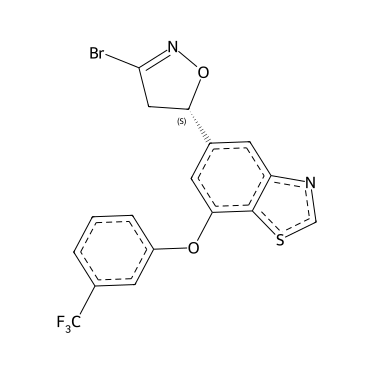 FC(F)(F)c1cccc(Oc2cc([C@@H]3CC(Br)=NO3)cc3ncsc23)c1